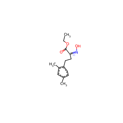 CCOC(=O)/C(CCc1ccc(C)cc1C)=N\O